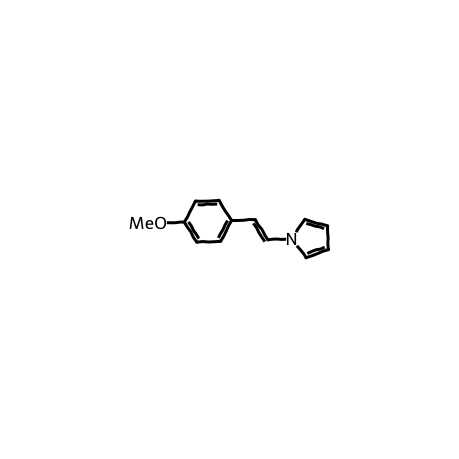 COc1ccc(C=Cn2cccc2)cc1